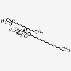 C=CC(=O)O.C=CC(=O)OCCCCCCCCCCCC.C=CC(=O)OCCCCCCCCCCCCCCCCCC